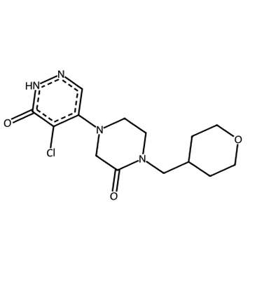 O=C1CN(c2cn[nH]c(=O)c2Cl)CCN1CC1CCOCC1